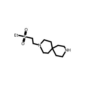 CCS(=O)(=O)CCN1CCC2(CCNCC2)CC1